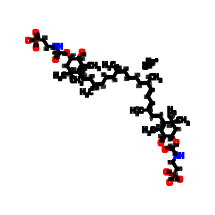 CC(C=CC=C(C)C=CC1=C(C)C(=O)C(OC(=O)NCCS(=O)(=O)[O-])CC1(C)C)=CC=CC=C(C)C=CC=C(C)C=CC1=C(C)C(=O)C(OC(=O)NCCS(=O)(=O)[O-])CC1(C)C.[Na+].[Na+]